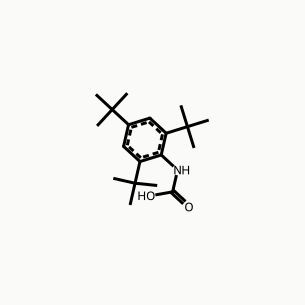 CC(C)(C)c1cc(C(C)(C)C)c(NC(=O)O)c(C(C)(C)C)c1